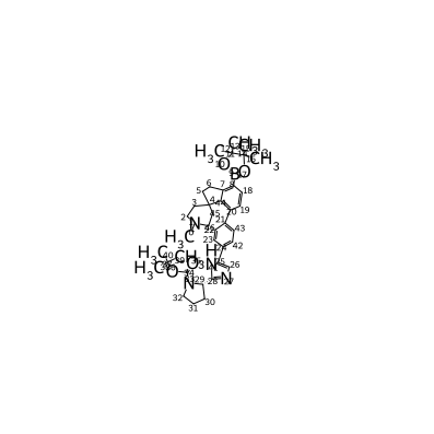 CN1CCC2(CCc3c(B4OC(C)(C)C(C)(C)O4)ccc(-c4ccc(-c5cnc([C@@H]6CCCN6C(=O)OC(C)(C)C)[nH]5)cc4)c32)CC1